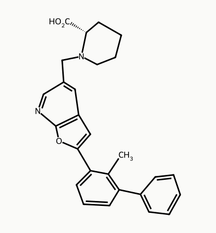 Cc1c(-c2ccccc2)cccc1-c1cc2cc(CN3CCCC[C@H]3C(=O)O)cnc2o1